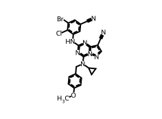 COc1ccc(CN(c2nc(Nc3cc(C#N)cc(Br)c3Cl)nc3c(C#N)cnn23)C2CC2)cc1